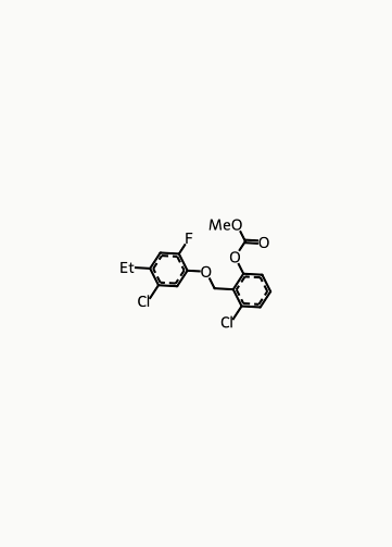 CCc1cc(F)c(OCc2c(Cl)cccc2OC(=O)OC)cc1Cl